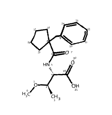 CO[C@H](C)[C@H](NC(=O)C1(c2ccccc2)CCCC1)C(=O)O